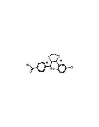 O=C(O)c1ccc([C@@H]2Nc3ccc(Cl)cc3[C@@H]3OCCO[C@H]23)cc1